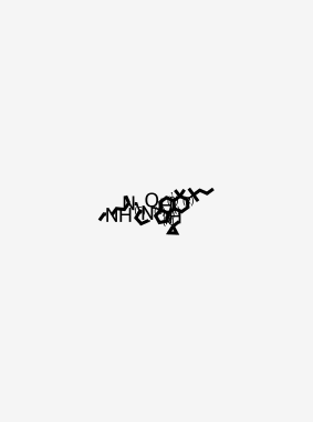 CCCC(C)(C)[C@H]1CC[C@@H]2[C@H]3[C@H](C4(C)CC4)CC[C@]3(C(=O)N3CCC[C@H]3CN(C)CCNCC)CC[C@@]2(C)C1(C)C